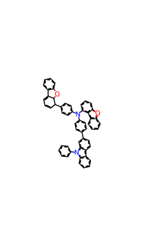 C1=CC(c2ccc(N(c3ccc(-c4ccc5c6ccccc6n(-c6ccccc6)c5c4)cc3)c3cccc4oc5ccccc5c34)cc2)C2Oc3ccccc3C2=C1